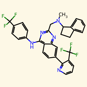 CN(Cc1nc(Nc2ccc(C(F)(F)F)cc2)c2ccc(-c3ncccc3C(F)(F)F)cc2n1)C1CCc2ccccc21